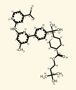 Cc1cc(Nc2cc(C(F)F)ccn2)nc(-c2ccc([C@](C)(O)[C@H]3CC[C@H](C(=O)OCCC(C)(C)O)CC3)nc2)c1